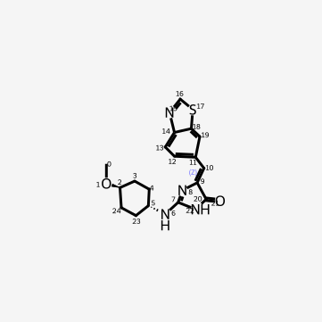 CO[C@H]1CC[C@H](NC2=N/C(=C\c3ccc4ncsc4c3)C(=O)N2)CC1